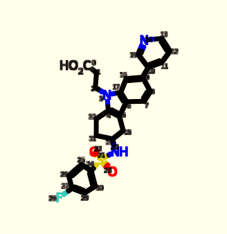 O=C(O)CCn1c2c(c3ccc(-c4cccnc4)cc31)CC(NS(=O)(=O)c1ccc(F)cc1)CC2